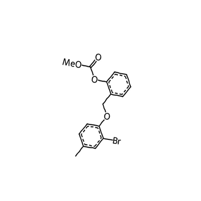 COC(=O)Oc1ccccc1COc1ccc(C)cc1Br